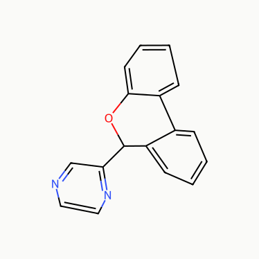 c1ccc2c(c1)OC(c1cnccn1)c1ccccc1-2